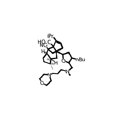 CCCCC1CC(C23C[C@@H]4[C@H](C)CC[C@H]4C4(C#N)CC2C=C(C(C)C)C34C(=O)O)OC1CN(C)CCCN1CCOCC1